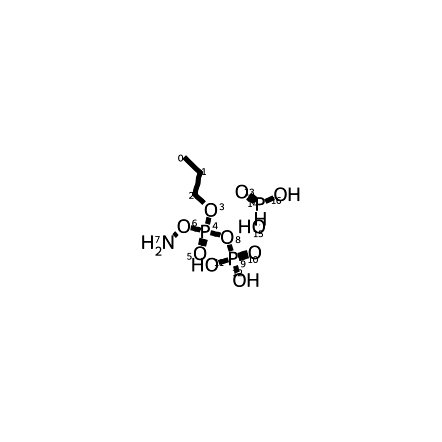 CCCOP(=O)(ON)OP(=O)(O)O.O=[PH](O)O